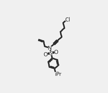 C=CCN(C#CCCCCCl)S(=O)(=O)c1ccc(C(C)C)cc1